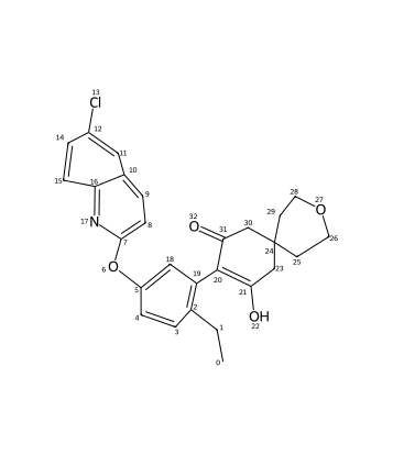 CCc1ccc(Oc2ccc3cc(Cl)ccc3n2)cc1C1=C(O)CC2(CCOCC2)CC1=O